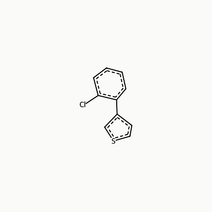 Clc1ccccc1-c1ccsc1